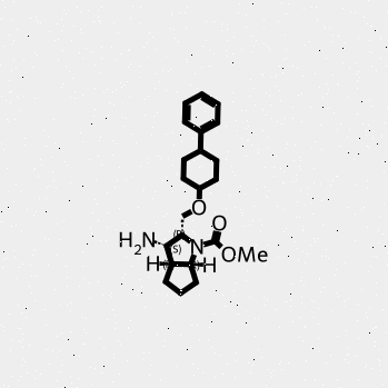 COC(=O)N1[C@@H]2CCC[C@@H]2[C@H](N)[C@@H]1COC1CCC(c2ccccc2)CC1